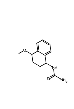 COC1CCC(NC(N)=O)c2ccccc21